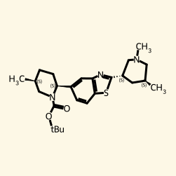 C[C@H]1C[C@H](c2nc3cc([C@@H]4CC[C@H](C)CN4C(=O)OC(C)(C)C)ccc3s2)CN(C)C1